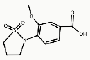 COc1cc(C(=O)O)ccc1N1CCCS1(=O)=O